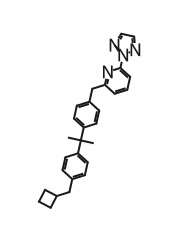 CC(C)(c1ccc(Cc2cccc(-n3nccn3)n2)cc1)c1ccc(CC2CCC2)cc1